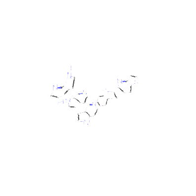 c1cc2[nH]ccc2cn1.c1cc2cc[nH]c2cn1.c1ccc2[nH]ccc2c1.c1cnc2[nH]ccc2c1.c1cnc2cc[nH]c2c1